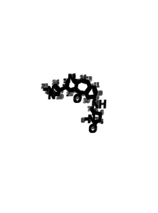 CN1C(=O)CCC1CNc1ccc2ccc3ncc(-c4cnn(C)c4)cc3c(=O)c2c1